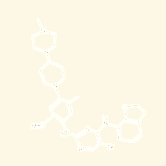 COc1cc(N2CCC(N3CCN(C)CC3)CC2)c(C)cc1Nc1ncc(Br)c(Nc2cccc3c2OCC3)n1